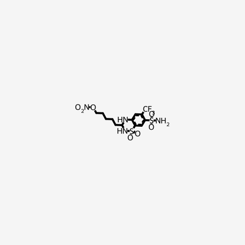 NS(=O)(=O)c1cc2c(cc1C(F)(F)F)NC(CCCCCO[N+](=O)[O-])NS2(=O)=O